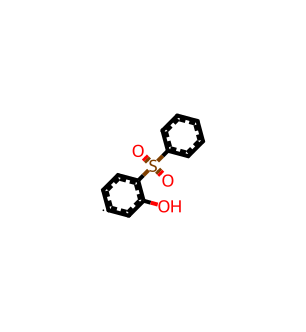 O=S(=O)(c1ccccc1)c1cc[c]cc1O